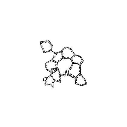 c1ccc(-n2c3ccccc3c3c4c(ccc5c6ccccc6n(-c6ccc7ocnc7c6)c54)ccc32)cc1